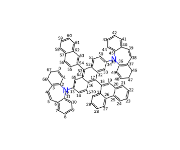 C1=CC2=C(C=Cc3ccccc3N2c2ccc3c(-c4cc5ccccc5c5ccccc45)c4cc(N5C6=C(C=Cc7ccccc75)CCC=C6)ccc4c(-c4ccc5ccccc5c4)c3c2)CC1